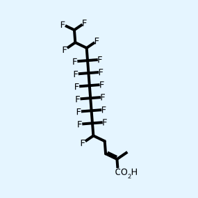 CC(=CCC(F)C(F)(F)C(F)(F)C(F)(F)C(F)(F)C(F)(F)C(F)(F)C(F)C(F)C(F)F)C(=O)O